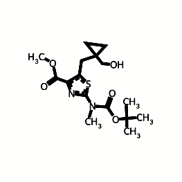 COC(=O)c1nc(N(C)C(=O)OC(C)(C)C)sc1CC1(CO)CC1